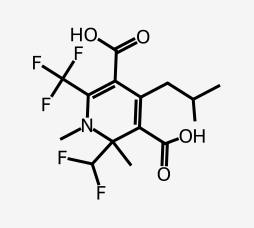 CC(C)CC1=C(C(=O)O)C(C)(C(F)F)N(C)C(C(F)(F)F)=C1C(=O)O